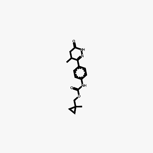 CC1CC(=O)NN=C1c1ccc(NC(=O)OCC2(C)CC2)cc1